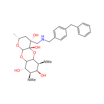 CN[C@@H]1[C@H](O)[C@H](NC)C2O[C@]3(O)C(OC2[C@H]1O)O[C@H](C)C[C@@]3(O)CNCc1ccc(Cc2ccccc2)cc1